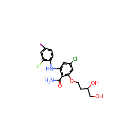 NC(=O)c1c(Nc2ccc(I)cc2F)cc(Cl)cc1OCC[C@@H](O)CO